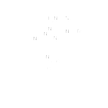 Nc1ncc(Br)nc1-c1nc(C2CCCN(C(=O)OCc3ccccc3)C2)n(-c2ccccn2)n1